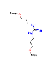 CCCCCCOCCCNC(=N)NCCCOCCCCCC